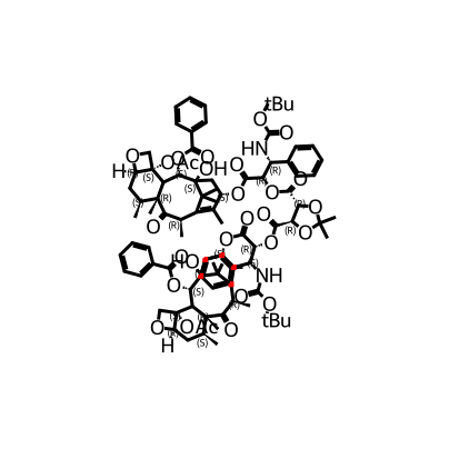 CC(=O)O[C@@]12CO[C@@H]1C[C@H](C)[C@@]1(C)C(=O)[C@H](C)C3=C(C)[C@@H](OC(=O)[C@H](OC(=O)[C@@H]4OC(C)(C)O[C@H]4C(=O)O[C@@H](C(=O)O[C@H]4C[C@@]5(O)[C@@H](OC(=O)c6ccccc6)C6[C@](C)(C(=O)[C@H](C)C(=C4C)C5(C)C)[C@@H](C)C[C@H]4OC[C@@]64OC(C)=O)[C@@H](NC(=O)OC(C)(C)C)c4ccccc4)[C@H](NC(=O)OC(C)(C)C)c4ccccc4)C[C@@](O)([C@@H](OC(=O)c4ccccc4)C12)C3(C)C